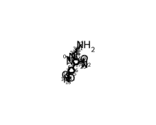 Cc1nc2c(-c3ccc(S(=O)(=O)N(C)C)cc3)cc(C(=O)N(C)C)cc2n1C/C(F)=C/CN